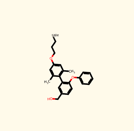 CSCCCOc1cc(C)c(-c2cc(CO)ccc2Oc2ccccc2)c(C)c1